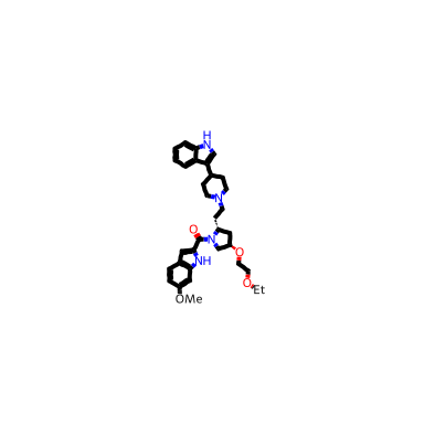 CCOCCO[C@@H]1C[C@@H](CCN2CCC(c3c[nH]c4ccccc34)CC2)N(C(=O)c2cc3ccc(OC)cc3[nH]2)C1